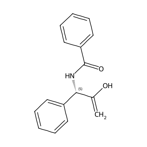 C=C(O)[C@@H](NC(=O)c1ccccc1)c1ccccc1